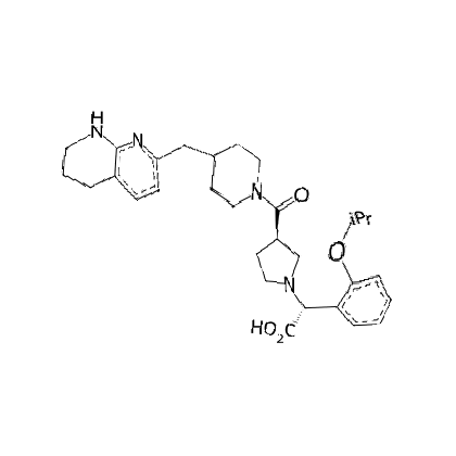 CC(C)Oc1ccccc1[C@H](C(=O)O)N1CC[C@@H](C(=O)N2CCC(Cc3ccc4c(n3)NCCC4)CC2)C1